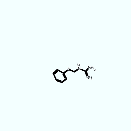 N=C(N)N[CH]Sc1ccccc1